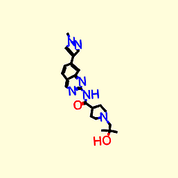 Cn1cc(-c2ccc3cnc(NC(=O)C4CCN(CC(C)(C)O)CC4)nc3c2)cn1